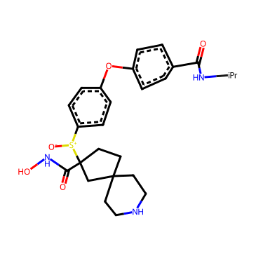 CC(C)NC(=O)c1ccc(Oc2ccc([S+]([O-])C3(C(=O)NO)CCC4(CCNCC4)C3)cc2)cc1